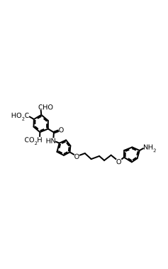 Nc1ccc(OCCCCCOc2ccc(NC(=O)c3cc(C=O)c(C(=O)O)cc3C(=O)O)cc2)cc1